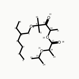 CCCCC(CC)COC(C)(C)C(=O)C(C)OC(=O)C(C)OC(C)C